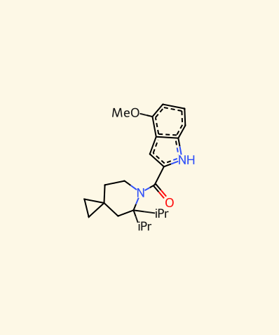 COc1cccc2[nH]c(C(=O)N3CCC4(CC4)CC3(C(C)C)C(C)C)cc12